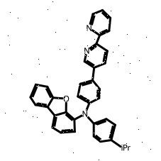 CC(C)c1ccc(N(c2ccc(-c3ccc(-c4ccccn4)nc3)cc2)c2cccc3c2oc2ccccc23)cc1